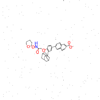 COC(=O)c1ccc2cc(-c3ccc(OCC(=O)NOC4CCCCO4)c(C45CC6CC(CC(C6)C4)C5)c3)ccc2c1